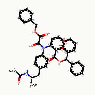 COC(=O)N[C@@H](Cc1ccc(N(C(=O)C(=O)OCc2ccccc2)c2ccccc2C(=O)OC(c2ccccc2)c2ccccc2)cc1)C(=O)O